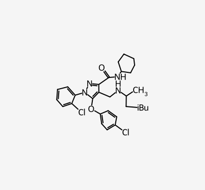 CCC(C)CC(C)NCc1c(C(=O)NC2CCCCC2)nn(-c2ccccc2Cl)c1Oc1ccc(Cl)cc1